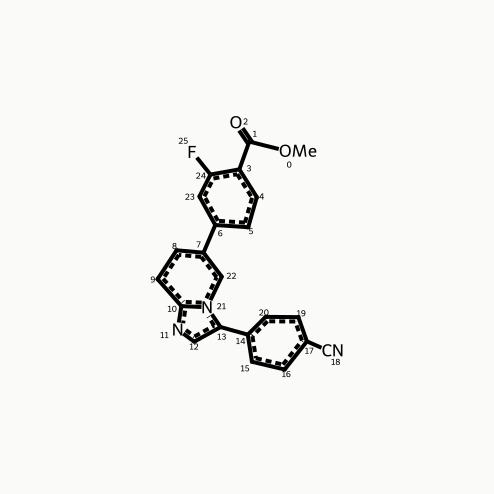 COC(=O)c1ccc(-c2ccc3ncc(-c4ccc(C#N)cc4)n3c2)cc1F